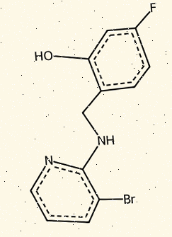 Oc1cc(F)ccc1CNc1ncccc1Br